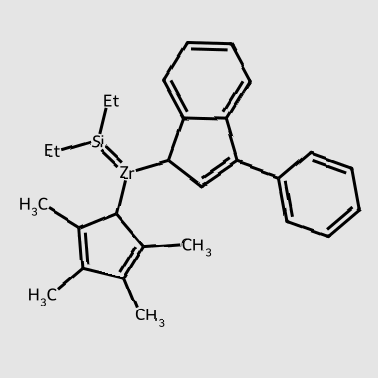 CC[Si](CC)=[Zr]([CH]1C(C)=C(C)C(C)=C1C)[CH]1C=C(c2ccccc2)c2ccccc21